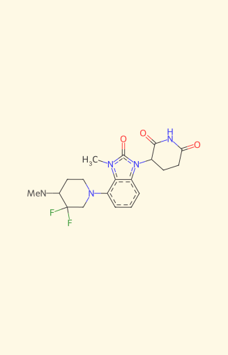 CNC1CCN(c2cccc3c2n(C)c(=O)n3C2CCC(=O)NC2=O)CC1(F)F